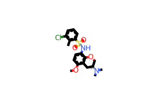 COc1ccc(NS(=O)(=O)c2cccc(Cl)c2C)c2c1C[C@@H](N(C)C)CO2